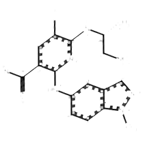 C[C@H](CN)Nc1nc(Nc2ccc3c(cnn3C)c2)c(C(N)=O)cc1F